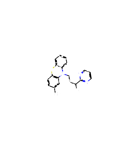 CCCc1ccc2c(c1)N(CCC(c1ncccn1)S(=O)(=O)O)c1ccccc1S2